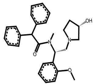 COc1ccccc1[C@@H](CN1CC[C@H](O)C1)N(C)C(=O)C(c1ccccc1)c1ccccc1